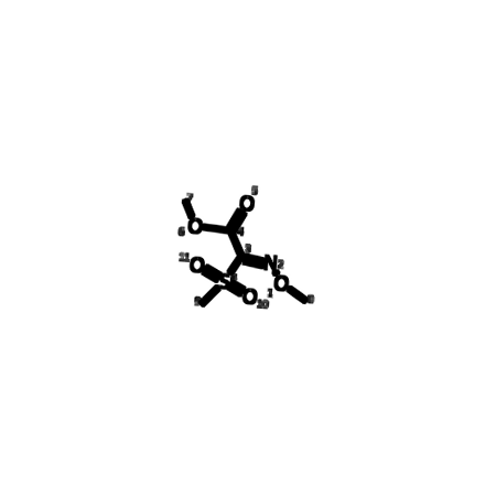 CON=C(C(=O)OC)S(C)(=O)=O